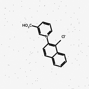 Cc1c(-[n+]2cccc(C(=O)O)c2)ccc2ccccc12.[Cl-]